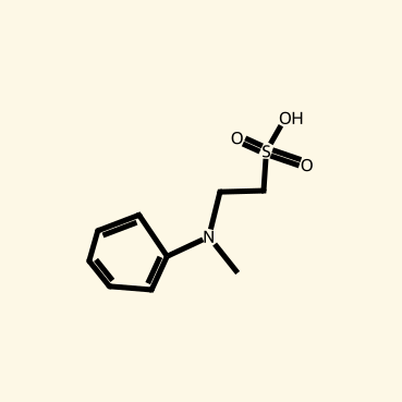 CN(CCS(=O)(=O)O)c1ccccc1